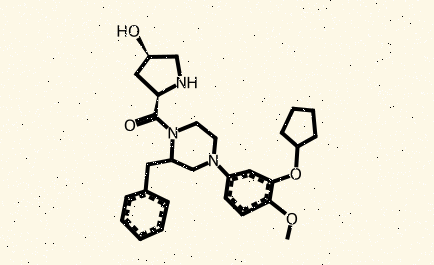 COc1ccc(N2CCN(C(=O)[C@H]3C[C@@H](O)CN3)C(Cc3ccccc3)C2)cc1OC1CCCC1